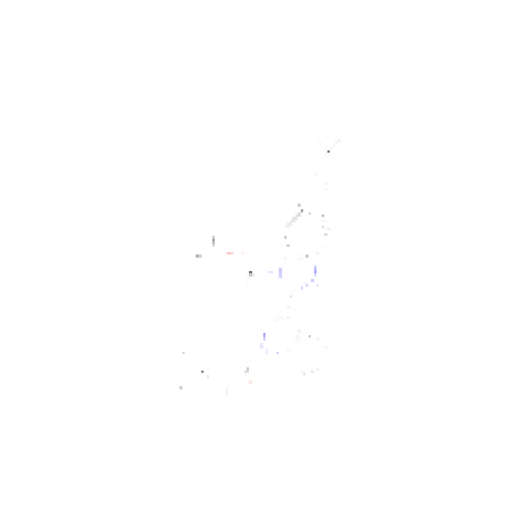 CC(C)(C)OC(=O)n1nc(-c2nc3ccc(O[Si](C)(C)C(C)(C)C)cc3n2C(=O)OC(C)(C)C)c2sccc21